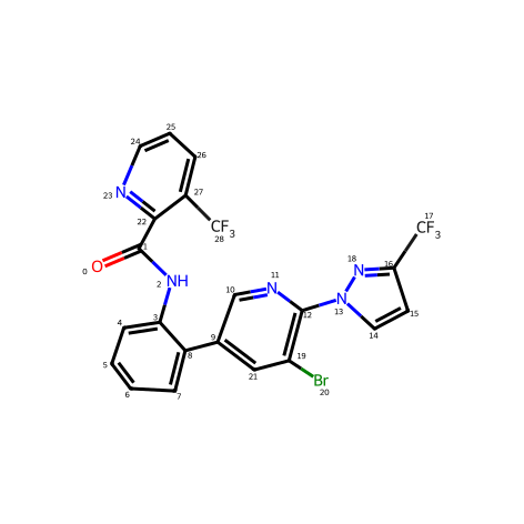 O=C(Nc1ccccc1-c1cnc(-n2ccc(C(F)(F)F)n2)c(Br)c1)c1ncccc1C(F)(F)F